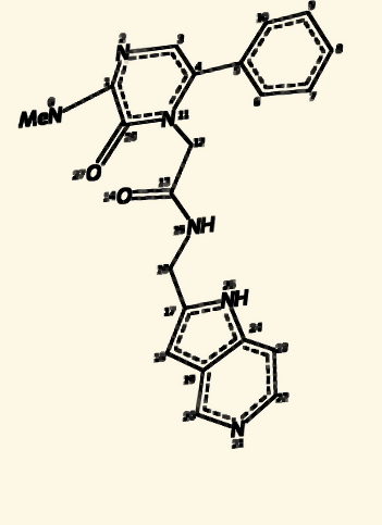 CNc1ncc(-c2ccccc2)n(CC(=O)NCc2cc3cnccc3[nH]2)c1=O